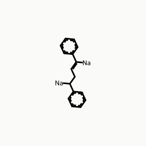 [Na][C](=CC[CH]([Na])c1ccccc1)c1ccccc1